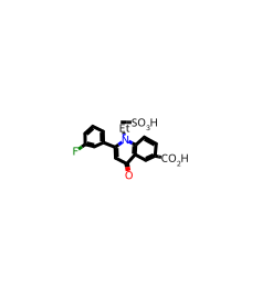 CCn1c(-c2cccc(F)c2)cc(=O)c2cc(C(=O)O)ccc21.CS(=O)(=O)O